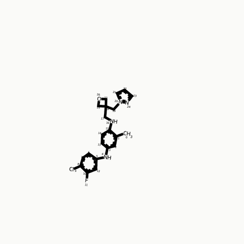 Cc1cc(Nc2ccc(Cl)c(F)c2)ccc1NCC1(Cn2cccn2)COC1